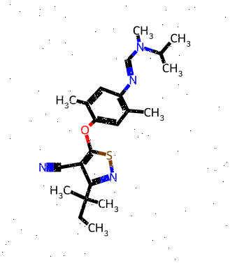 CCC(C)(C)c1nsc(Oc2cc(C)c(N=CN(C)C(C)C)cc2C)c1C#N